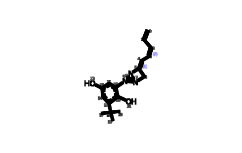 C=C/C=C\C=C1/Cn2n1n2-c1cc(O)cc(C(C)(C)C)c1O